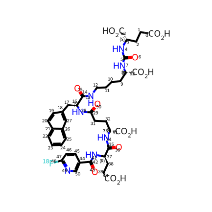 O=C(O)CC[C@H](NC(=O)N[C@@H](CCCCNC(=O)[C@H](Cc1ccc2ccccc2c1)NC(=O)CC[C@@H](NC(=O)[C@@H](CCC(=O)O)NC(=O)c1ccc([18F])nc1)C(=O)O)C(=O)O)C(=O)O